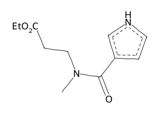 CCOC(=O)CCN(C)C(=O)c1cc[nH]c1